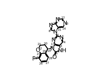 O=c1[nH]c2cnc(-n3cnc4ncncc43)nc2n1[C@@H]1CCOc2c(F)cccc21